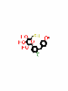 COc1ccc(Cc2cc([C@@H]3O[C@H](CS)[C@@H](O)[C@H](O)[C@H]3O)ccc2Cl)cc1